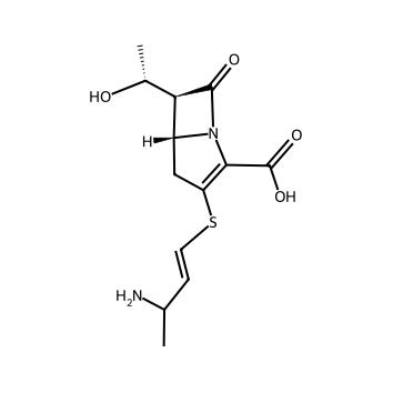 CC(N)C=CSC1=C(C(=O)O)N2C(=O)[C@H]([C@@H](C)O)[C@H]2C1